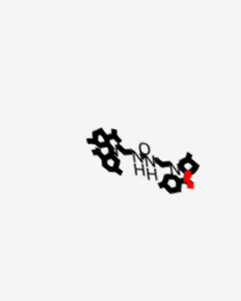 CC1CCC(C(C)C)C(N(CCCNC(=O)NCCCN(C2CC(C)CCC2C(C)C)C2CC(C)CCC2C(C)C)C2CC(C)CCC2C(C)C)C1